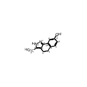 O=C(O)c1[nH]nc2c1CCc1ccc(O)cc1-2